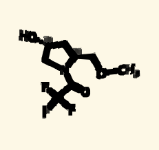 COC[C@@H]1C[C@@H](O)CN1C(=O)C(F)(F)F